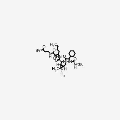 C=CCCC(NC(=O)[C@@H]1[C@@H]2[C@H](CN1C(=O)[C@@H](NC(=O)NC(C)(C)C)C1CCCCC1)C2(C)C)C(=O)C(=O)NCCC(=O)C(C)C